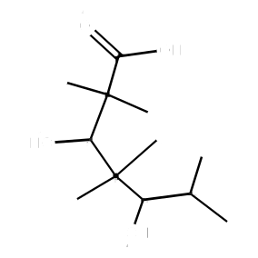 CC(C)C(O)C(C)(C)C(O)C(C)(C)C(=O)O